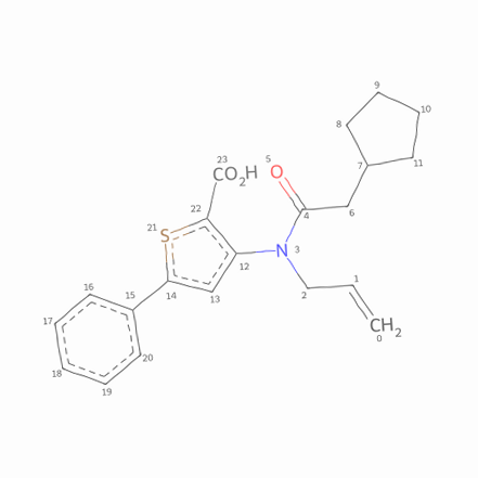 C=CCN(C(=O)CC1CCCC1)c1cc(-c2ccccc2)sc1C(=O)O